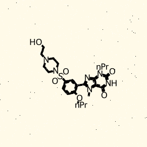 CCCOc1ccc(S(=O)(=O)N2CCN(CCO)CC2)cc1-c1nc2c(c(=O)[nH]c(=O)n2CCC)n1C